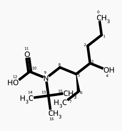 CCCC(O)[C@@H](CC)CN(C(=O)O)C(C)(C)C